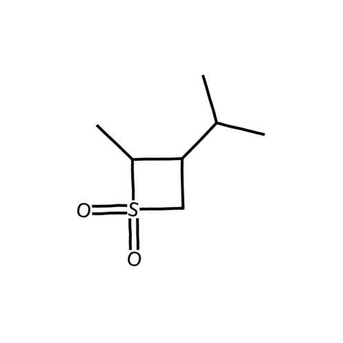 CC(C)C1CS(=O)(=O)C1C